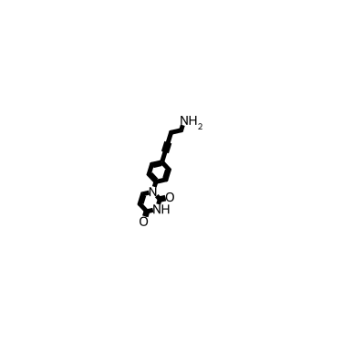 NCCC#Cc1ccc(-n2ccc(=O)[nH]c2=O)cc1